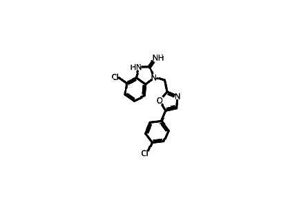 N=c1[nH]c2c(Cl)cccc2n1Cc1ncc(-c2ccc(Cl)cc2)o1